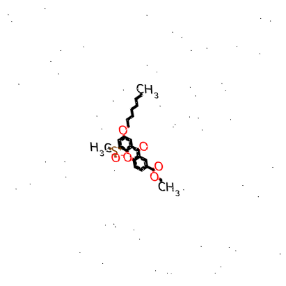 CCCCCCCCOc1cc([S+](C)[O-])c2oc3ccc(C(=O)OCC)cc3c(=O)c2c1